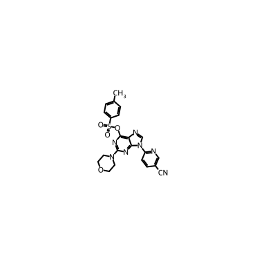 Cc1ccc(S(=O)(=O)Oc2nc(N3CCOCC3)nc3c2ncn3-c2ccc(C#N)cn2)cc1